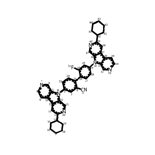 N#Cc1cc(-n2c3cnccc3c3cc(C4CCCCC4)ncc32)ccc1-c1ccc(-n2c3cnccc3c3cc(C4CCCCC4)ncc32)cc1F